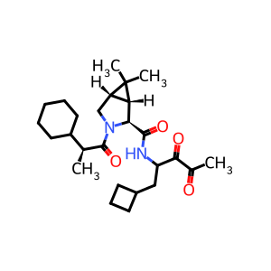 CC(=O)C(=O)C(CC1CCC1)NC(=O)[C@@H]1[C@@H]2[C@H](CN1C(=O)[C@@H](C)C1CCCCC1)C2(C)C